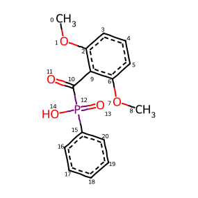 COc1cccc(OC)c1C(=O)P(=O)(O)c1ccccc1